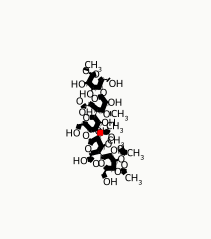 CO[C@H]1O[C@H](CO)[C@@H](O[C@@H]2O[C@@H](C(=O)O)[C@@H](C3O[C@H](CO)[C@@H](O[C@@H]4O[C@H](C(=O)O)C([C@H]5O[C@H](CO)[C@@H](OC(C)=O)[C@H](OC(C)=O)[C@H]5O)[C@H](OC)[C@H]4OC(C)=O)[C@H](O)[C@H]3O)[C@H](OC)[C@H]2O)[C@H](O)[C@H]1O